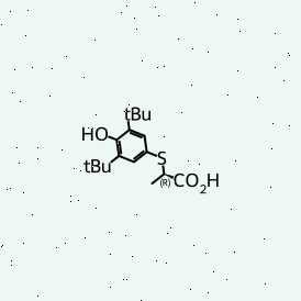 C[C@@H](Sc1cc(C(C)(C)C)c(O)c(C(C)(C)C)c1)C(=O)O